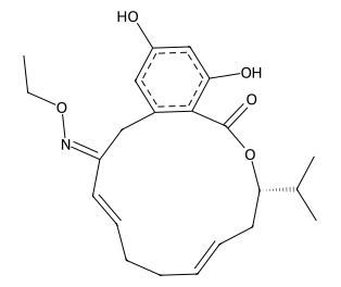 CCON=C1/C=C/CC/C=C/C[C@@H](C(C)C)OC(=O)c2c(O)cc(O)cc2C1